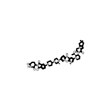 CC(O)[C@H]1[C@H](N2CCn3c(cc4c3CC(C)(C)C4)C2=O)CCCN1c1cc(Nc2ccc(N3CCN(C4CCN(c5ccc6c(c5)C(=O)N(C5CCC(=O)NC5=O)C6=O)CC4)C[C@@H]3C)cn2)c(=O)n(C)c1